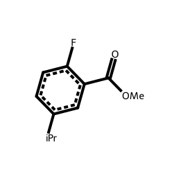 COC(=O)c1cc(C(C)C)ccc1F